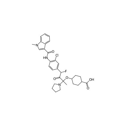 Cn1cc(C(=O)Nc2ccc(C(F)C(=O)C(C)(OC3CCC(C(=O)O)CC3)N3CCCC3)cc2Cl)c2ccccc21